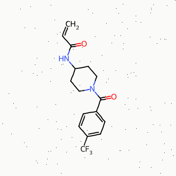 C=CC(=O)NC1CCN(C(=O)c2ccc(C(F)(F)F)cc2)CC1